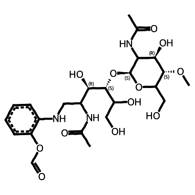 CO[C@@H]1C(CO)O[C@@H](O[C@H](C(O)CO)[C@H](O)C(CNc2ccccc2OC=O)NC(C)=O)C(NC(C)=O)[C@H]1O